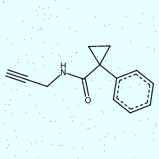 C#CCNC(=O)C1(c2ccccc2)CC1